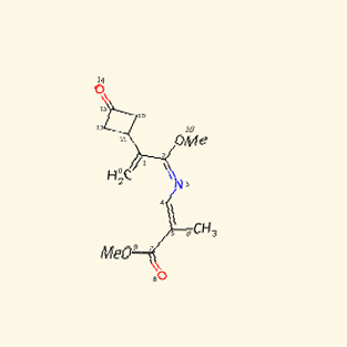 C=C(/C(=N\C=C(/C)C(=O)OC)OC)C1CC(=O)C1